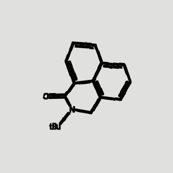 CC(C)(C)N1Cc2cccc3cccc(c23)C1=O